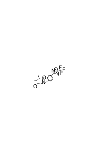 CCC(C)C(=O)N(CCOC)Cc1ccc(-c2noc(C(F)(F)F)n2)cc1